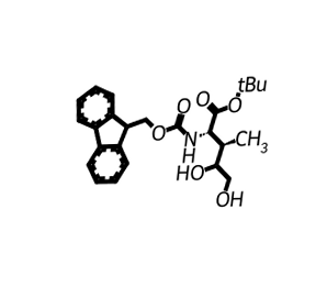 C[C@@H](C(O)CO)[C@H](NC(=O)OCC1c2ccccc2-c2ccccc21)C(=O)OC(C)(C)C